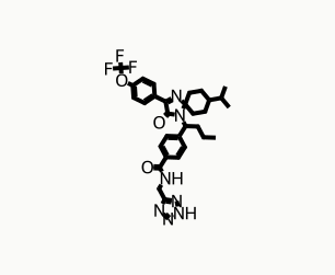 CCCC(c1ccc(C(=O)NCc2nn[nH]n2)cc1)N1C(=O)C(c2ccc(OC(F)(F)F)cc2)=NC12CCC(C(C)C)CC2